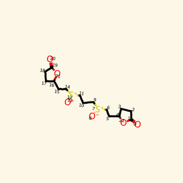 O=C1CCC(CC[S+]([O-])CCC[S+]([O-])CCC2CCC(=O)O2)O1